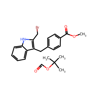 CC(C)(C)OC=O.COC(=O)c1ccc(Cc2c(CBr)[nH]c3ccccc23)cc1